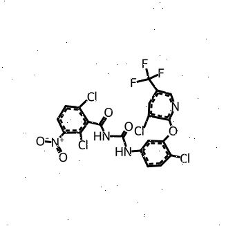 O=C(NC(=O)c1c(Cl)ccc([N+](=O)[O-])c1Cl)Nc1ccc(Cl)c(Oc2ncc(C(F)(F)F)cc2Cl)c1